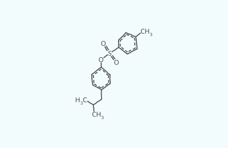 Cc1ccc(S(=O)(=O)Oc2ccc(CC(C)C)cc2)cc1